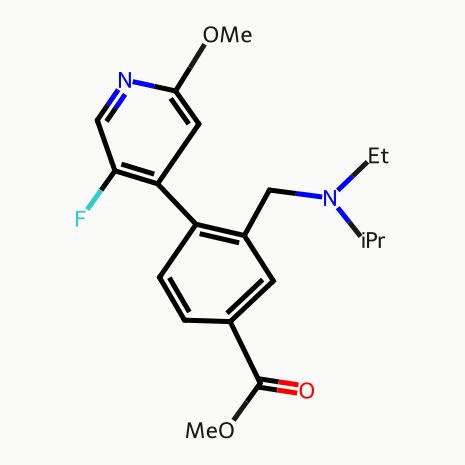 CCN(Cc1cc(C(=O)OC)ccc1-c1cc(OC)ncc1F)C(C)C